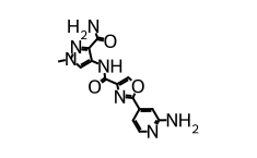 Cn1cc(NC(=O)c2coc(-c3ccnc(N)c3)n2)c(C(N)=O)n1